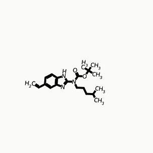 C=Cc1ccc2[nH]c(N(CCCC(C)C)C(=O)OC(C)(C)C)nc2c1